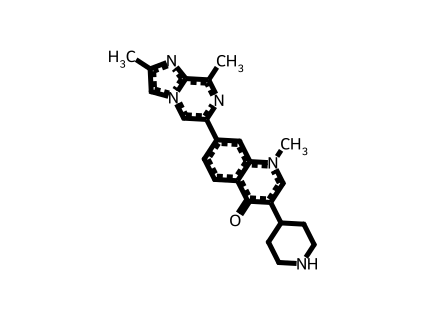 Cc1cn2cc(-c3ccc4c(=O)c(C5CCNCC5)cn(C)c4c3)nc(C)c2n1